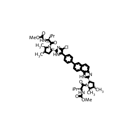 COC(=O)N[C@H](C(=O)N1[C@H](C)[C@H](C)C[C@H]1c1nc(Cl)c(-c2ccc(-c3ccc4c(ccc5nc([C@@H]6C[C@@H](C)[C@@H](C)N6C(=O)[C@@H](NC(=O)OC)C(C)C)[nH]c54)c3)cc2)[nH]1)C(C)C